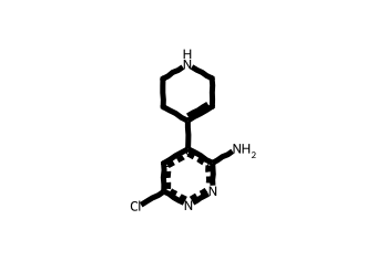 Nc1nnc(Cl)cc1C1=CCNCC1